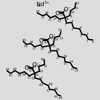 CCCCCCCCC(CCCC)(CCCCCC)C(=O)[O-].CCCCCCCCC(CCCC)(CCCCCC)C(=O)[O-].CCCCCCCCC(CCCC)(CCCCCC)C(=O)[O-].[Nd+3]